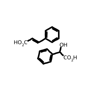 O=C(O)C(O)c1ccccc1.O=C(O)C=Cc1ccccc1